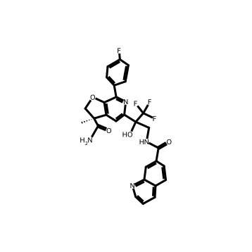 C[C@]1(C(N)=O)COc2c1cc(C(O)(CNC(=O)c1ccc3cccnc3c1)C(F)(F)F)nc2-c1ccc(F)cc1